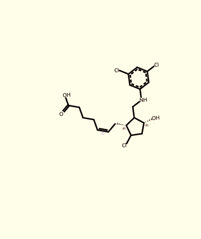 O=C(O)CCC/C=C\C[C@H]1C(Cl)C[C@@H](O)C1CNc1cc(Cl)cc(Cl)c1